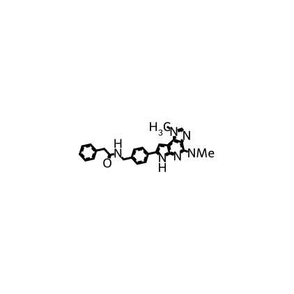 CNc1nc2[nH]c(-c3ccc(CNC(=O)Cc4ccccc4)cc3)cc2c2c1ncn2C